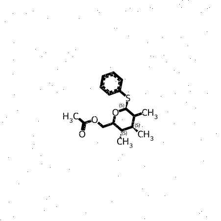 CC(=O)OCC1O[C@@H](Sc2ccccc2)C(C)[C@@H](C)[C@@H]1C